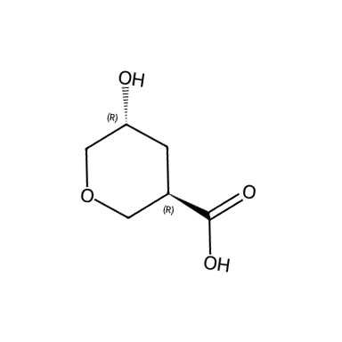 O=C(O)[C@H]1COC[C@H](O)C1